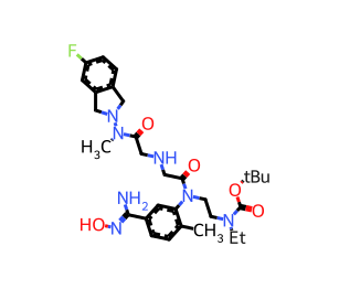 CCN(CCN(C(=O)CNCC(=O)N(C)N1Cc2ccc(F)cc2C1)c1cc(C(N)=NO)ccc1C)C(=O)OC(C)(C)C